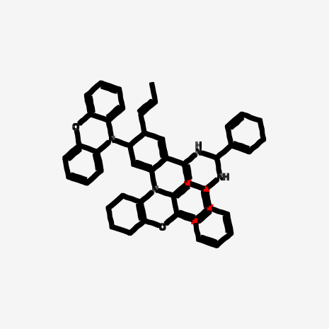 C/C=C/C1C=C(C2=NC(c3ccccc3)NC(C3=CCCC=C3)N2)C(N2C3=C(CCCC3)Oc3ccccc32)=CC1N1c2ccccc2Oc2ccccc21